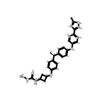 Cc1nc(-c2ncc(Oc3ccc([C@H](C)c4ccc(OC5CC(NC(=O)OC(C)(C)C)C5)cc4)cc3)cn2)no1